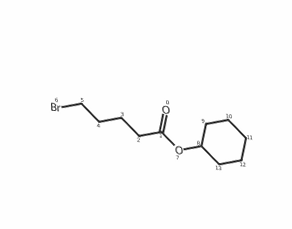 O=C(CCCCBr)OC1CCCCC1